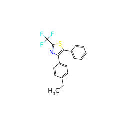 CCc1ccc(-c2nc(C(F)(F)F)sc2-c2ccccc2)cc1